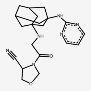 N#CC1COCN1C(=O)CNC12CC3CC(C1)CC(Nc1ncccn1)(C3)C2